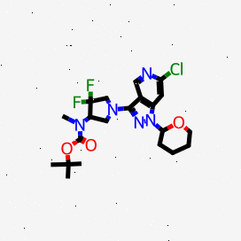 CN(C(=O)OC(C)(C)C)C1CN(c2nn(C3CCCCO3)c3cc(Cl)ncc23)CC1(F)F